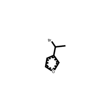 CC(Br)c1ccoc1